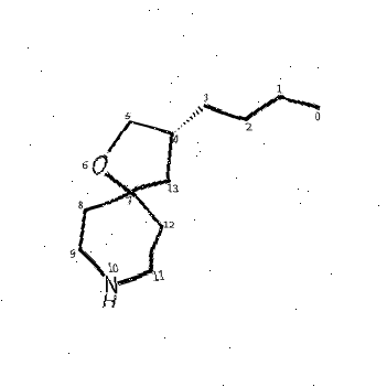 CCCC[C@H]1COC2(CCNCC2)C1